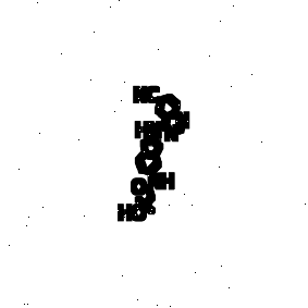 CC(C)(O)CC(=O)Nc1ccc2c(c1)C[C@H](Nc1ncnc3ccc(C#N)cc13)C2